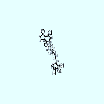 O=C1CCc2c(OC3CC4(C3)CN(CCCc3cn[nH]c(=O)c3Cl)C4)ccc(Cl)c21